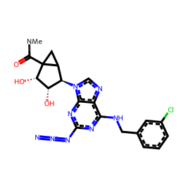 CNC(=O)C12CC1[C@@H](n1cnc3c(NCc4cccc(Cl)c4)nc(N=[N+]=[N-])nc31)[C@H](O)[C@@H]2O